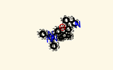 Cc1cnccc1-c1ccccc1-c1cccc2c1Oc1ccc(-c3nc(-c4ccccc4)nc(-c4ccccc4)n3)cc1C21c2ccccc2-c2ccccc21